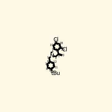 C=C(CN(C)Cc1ccc(C(C)(C)C)cc1)c1ccc(Cl)cc1Cl